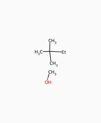 CCC(C)(C)C.CO